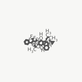 CC(=O)OC1(NC(=O)C(=Cc2ccccc2)C(F)(F)F)C=C(O)C2=C3C1O[C@H]1CCC[C@H]4[C@@H](C2)[N+](CC(C)C)(CC2CC2)CC[C@]314